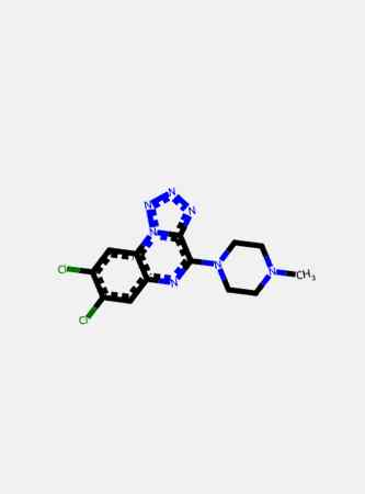 CN1CCN(c2nc3cc(Cl)c(Cl)cc3n3nnnc23)CC1